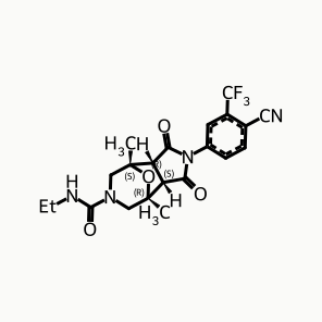 CCNC(=O)N1C[C@@]2(C)O[C@@](C)(C1)[C@H]1C(=O)N(c3ccc(C#N)c(C(F)(F)F)c3)C(=O)[C@H]12